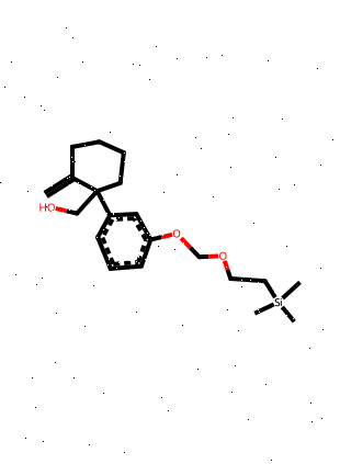 C=C1CCCCC1(CO)c1cccc(OCOCC[Si](C)(C)C)c1